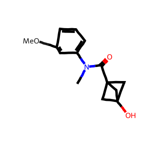 COc1cccc(N(C)C(=O)C23CC(O)(C2)C3)c1